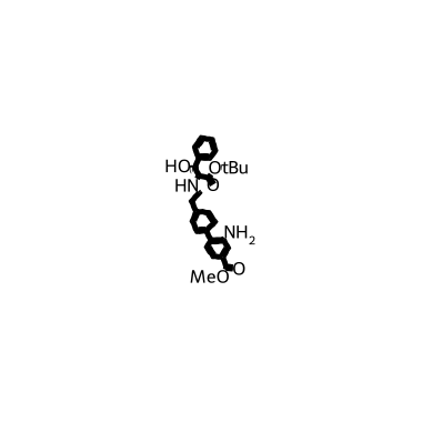 COC(=O)c1ccc(-c2ccc(CCNC(C(=O)OC(C)(C)C)[C@H](O)c3ccccc3)cc2)c(N)c1